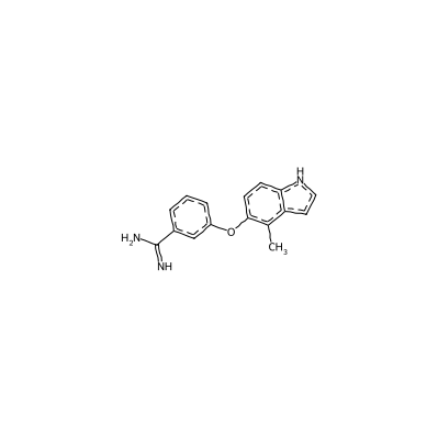 Cc1c(Oc2cccc(C(=N)N)c2)ccc2[nH]ccc12